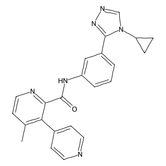 Cc1ccnc(C(=O)Nc2cccc(-c3nncn3C3CC3)c2)c1-c1ccncc1